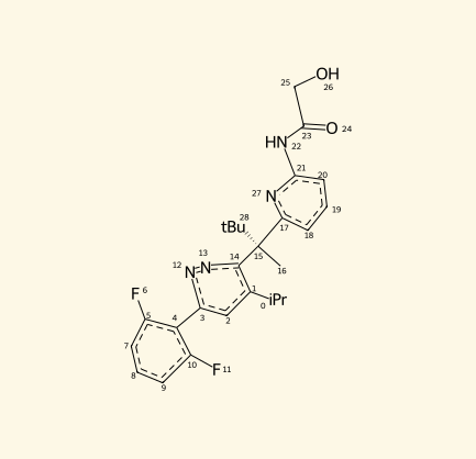 CC(C)c1cc(-c2c(F)cccc2F)nnc1[C@](C)(c1cccc(NC(=O)CO)n1)C(C)(C)C